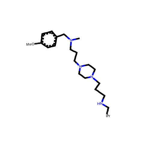 COc1ccc(CN(C)CCCN2CCN(CCCNCC(C)C)CC2)cc1